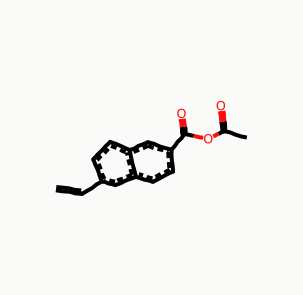 C=Cc1ccc2cc(C(=O)OC(C)=O)ccc2c1